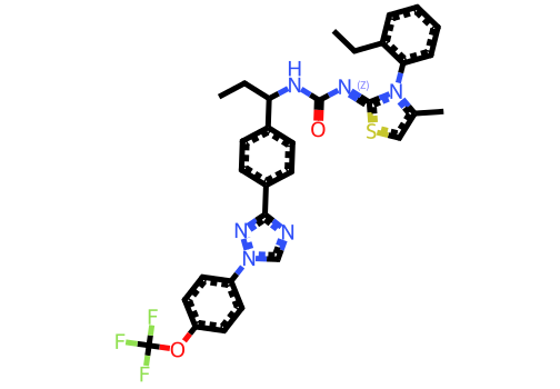 CCc1ccccc1-n1c(C)cs/c1=N\C(=O)NC(CC)c1ccc(-c2ncn(-c3ccc(OC(F)(F)F)cc3)n2)cc1